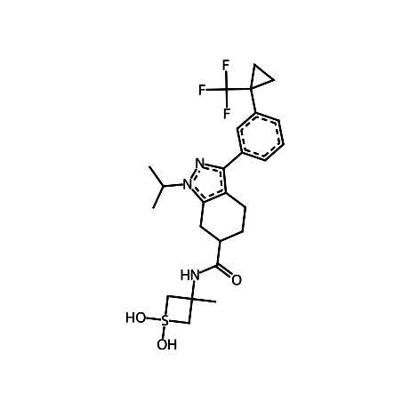 CC(C)n1nc(-c2cccc(C3(C(F)(F)F)CC3)c2)c2c1CC(C(=O)NC1(C)CS(O)(O)C1)CC2